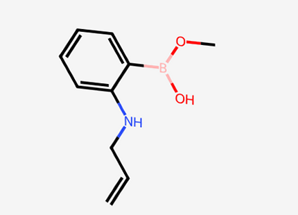 C=CCNc1ccccc1B(O)OC